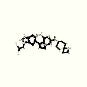 COc1nc(N[C@H]2CC[C@]3(CCO3)CC2)nn2ccc(-c3ccc4nnn(CC(F)F)c4c3)c12